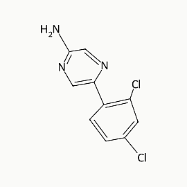 Nc1cnc(-c2ccc(Cl)cc2Cl)cn1